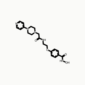 O=C(CN1CCN(c2ccncc2)CC1)NCCOc1ccc(C(=O)NO)cc1